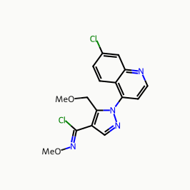 COCc1c(C(Cl)=NOC)cnn1-c1ccnc2cc(Cl)ccc12